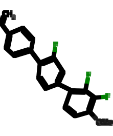 C=Cc1ccc(-c2ccc(-c3ccc(OC)c(F)c3F)cc2F)cc1